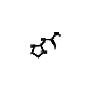 NC(=S)NC1NCCN1